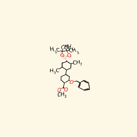 COC(=O)C1CCC(C2CC(C)C(B3OC(C)(C)C(C)(C)O3)CC2C)CC1OCc1ccccc1